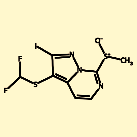 C[S+]([O-])c1nccc2c(SC(F)F)c(I)nn12